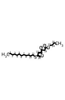 CCCCCCCCCCCCSc1coc(C(=O)CC(=O)OCCCC)c1